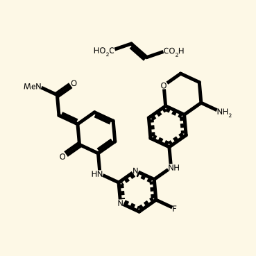 CNC(=O)C=C1C=CC=C(Nc2ncc(F)c(Nc3ccc4c(c3)C(N)CCO4)n2)C1=O.O=C(O)/C=C/C(=O)O